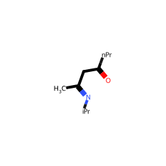 CCCC(=O)CC(C)=NC(C)C